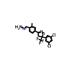 Cc1cc(C2=NOC(c3cc(Cl)cc(Cl)c3)(C(F)(F)F)C2)ccc1/C=N/N